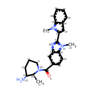 CCn1c(-c2nc3cc(C(=O)N4CCC[C@H](N)[C@@H]4C)ccc3n2C)cc2ccccc21